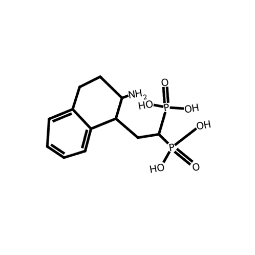 NC1CCc2ccccc2C1CC(P(=O)(O)O)P(=O)(O)O